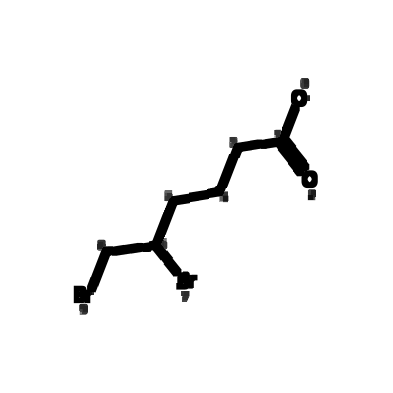 [O]C(=O)CCCC(Br)CBr